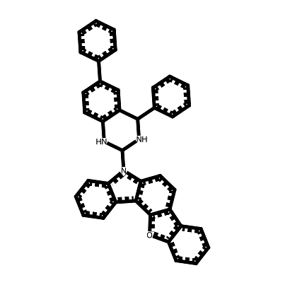 c1ccc(-c2ccc3c(c2)C(c2ccccc2)NC(n2c4ccccc4c4c5oc6ccccc6c5ccc42)N3)cc1